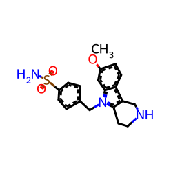 COc1ccc2c3c(n(Cc4ccc(S(N)(=O)=O)cc4)c2c1)CCNC3